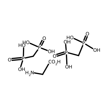 NCC(=O)O.O=P(O)(O)CP(=O)(O)O.O=P(O)(O)CP(=O)(O)O